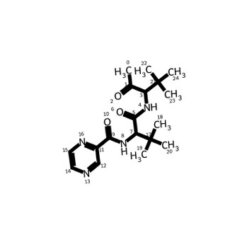 CC(=O)C(NC(=O)C(NC(=O)c1cnccn1)C(C)(C)C)C(C)(C)C